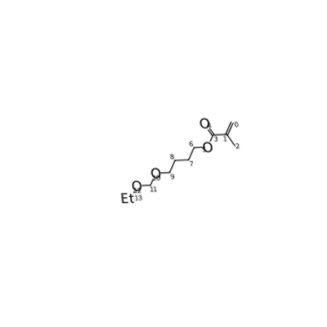 C=C(C)C(=O)OCCCCOCOCC